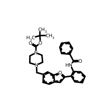 CC(C)(C)OC(=O)N1CCN(Cc2ccc3cc(-c4ccccc4NC(=O)c4ccccc4)oc3c2)CC1